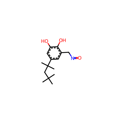 CC(C)(C)CC(C)(C)c1cc(O)c(O)c(CN=O)c1